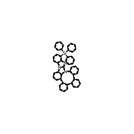 c1ccc([Si](c2ccccc2)(c2ccccc2)c2cccc3c2nc2n3c3cccc4c5ccccc5c5ccccc5c5ccccc5n2c43)cc1